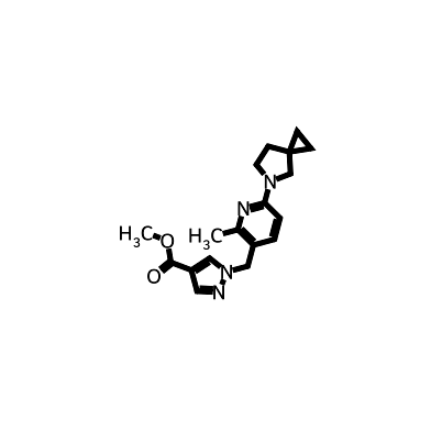 COC(=O)c1cnn(Cc2ccc(N3CCC4(CC4)C3)nc2C)c1